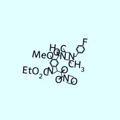 CCOC(=O)N1CC(C(=O)C(=O)N2CCOCC2)c2cc(C(=O)N3CC(C)N(Cc4ccc(F)cc4)CC3C)c(OC)cc21